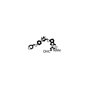 C=C1c2cccc(OCc3cn(-c4ccc(OCC5CCOCC5)cc4)nn3)c2CN1C(CCC=O)C(=O)NC